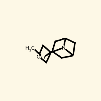 COC1CC2CC(C1)N2C1COC1